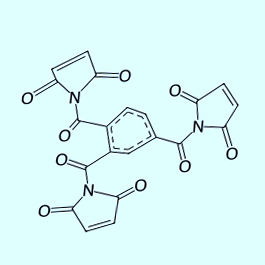 O=C1C=CC(=O)N1C(=O)c1ccc(C(=O)N2C(=O)C=CC2=O)c(C(=O)N2C(=O)C=CC2=O)c1